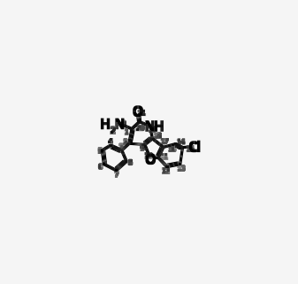 Nc1c(-c2ccccc2)c2oc3ccc(Cl)cc3c2[nH]c1=O